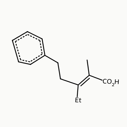 CCC(CCc1ccccc1)=C(C)C(=O)O